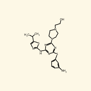 CC(C)c1cnc(Nc2nc(Sc3cccc(N)c3)nc(N3CCN(CCO)CC3)n2)s1